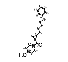 O=C(C1CC1CCCCCc1ccccc1)N1CCC(O)CC1